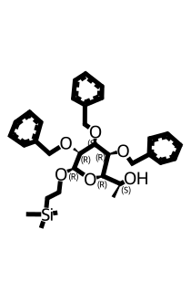 C[C@H](O)[C@H]1O[C@@H](OCC[Si](C)(C)C)[C@H](OCc2ccccc2)[C@@H](OCc2ccccc2)[C@H]1OCc1ccccc1